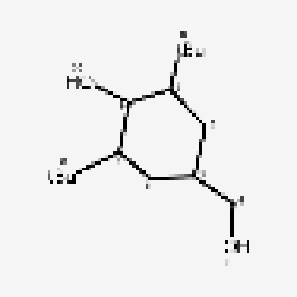 CC(C)(C)C1CC(CO)CC(C(C)(C)C)C1O